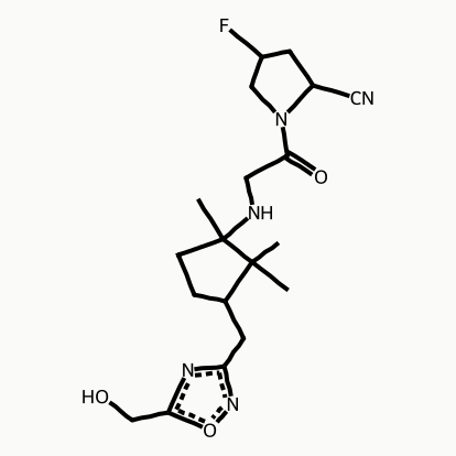 CC1(NCC(=O)N2CC(F)CC2C#N)CCC(Cc2noc(CO)n2)C1(C)C